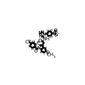 COc1ccc2c(c1)c(CC(=O)Nc1nnnn1-c1ccc([N+](=O)[O-])cc1)c(C)n2C(=O)c1ccc(Cl)cc1